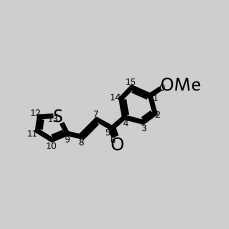 COc1ccc(C(=O)C=Cc2cccs2)cc1